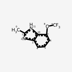 Cc1nc2cccc(OC(F)(F)F)c2[nH]1